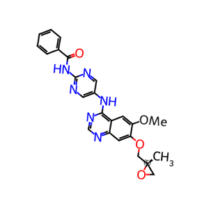 COc1cc2c(Nc3cnc(NC(=O)c4ccccc4)nc3)ncnc2cc1OC[C@]1(C)CO1